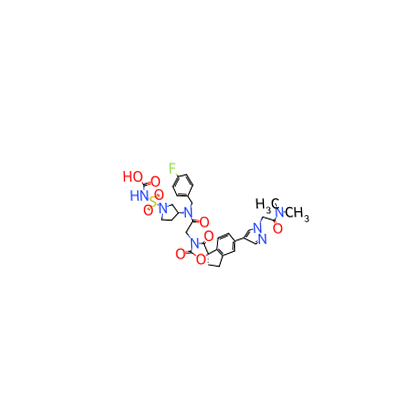 CN(C)C(=O)Cn1cc(-c2ccc3c(c2)CC[C@@]32OC(=O)N(CC(=O)N(Cc3ccc(F)cc3)[C@H]3CCN(S(=O)(=O)NC(=O)O)C3)C2=O)cn1